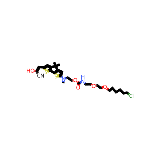 CN(CCOC(=O)NCCOCCOCCCCCCCl)c1cc2c(s1)-c1sc(/C=C(/O)C#N)cc1C2(C)C